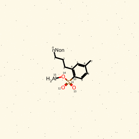 CCCCCCCCCCCCc1cc(C)ccc1S(=O)(=O)[O][AlH2]